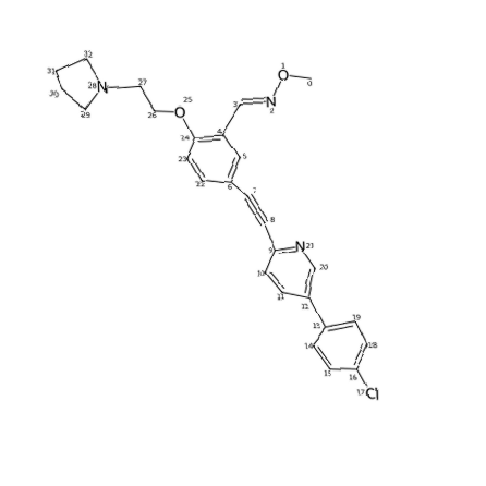 CON=Cc1cc(C#Cc2ccc(-c3ccc(Cl)cc3)cn2)ccc1OCCN1CCCC1